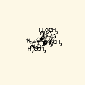 COC(=O)[C@]12CCC(C)(C)C[C@H]1[C@H]1C(=O)C=C3[C@@]4(C)CC(C#N)C(=O)C(C)(C)[C@@H]4CC[C@@]3(C)[C@]1(C)CC2